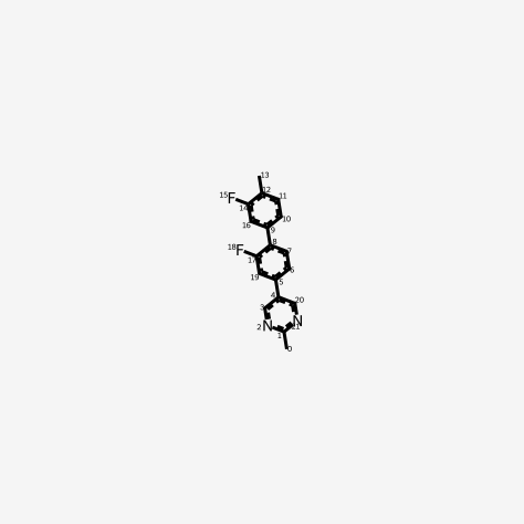 Cc1ncc(-c2ccc(-c3ccc(C)c(F)c3)c(F)c2)cn1